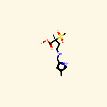 Cc1c[nH]c(CNCC[C@](C)(C(=O)OC(C)(C)C)S(C)(=O)=O)c1